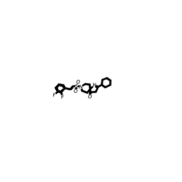 O=C1CC(C2CCCCC2)=NC12CCN(S(=O)(=O)/C=C/c1cccc(F)c1F)CC2